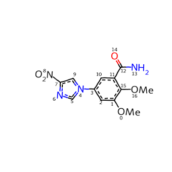 COc1cc(-n2cnc([N+](=O)[O-])c2)cc(C(N)=O)c1OC